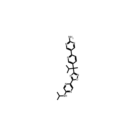 CC(C)Nc1cnc(-c2nc(C(C)(c3ccc(-c4cnc(N)nc4)nc3)C(C)C)no2)cn1